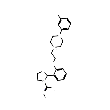 CC(=O)/N=C(\OC(C)=O)N1CCSC1c1ccccc1OCCN1CCN(c2cccc(F)c2)CC1